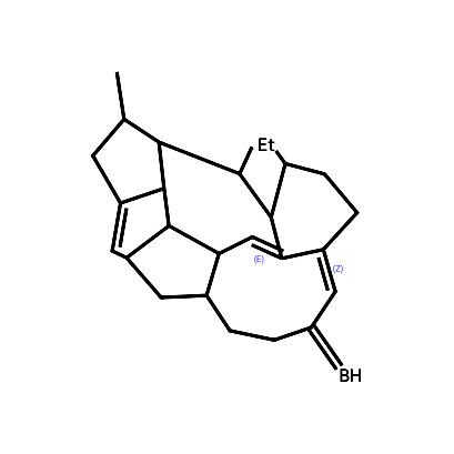 B=C1/C=C2/CCC(CC)C3/C2=C\C2C(CC1)CC1C=C4CC(C)C(C3C)C4C12